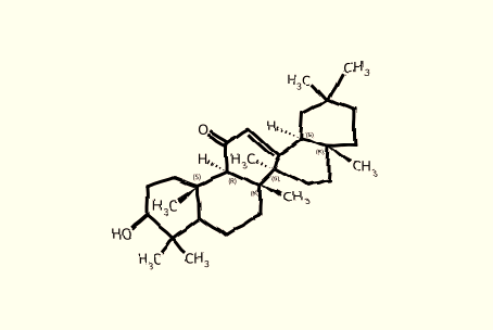 CC1(C)CC[C@]2(C)CC[C@]3(C)C(=CC(=O)[C@@H]4[C@@]5(C)CCC(O)C(C)(C)C5CC[C@]43C)[C@H]2C1